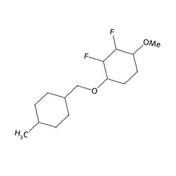 COC1CCC(OCC2CCC(C)CC2)C(F)C1F